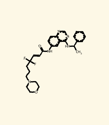 CC(Nc1ncnc2ccc(NC(=O)C=CC(F)(F)CCCN3CCOCC3)cc12)c1ccccc1